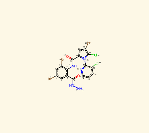 NNC(=O)c1cc(Br)cc(Br)c1NC(=O)c1cc(Br)c(Cl)n1-c1ncccc1Cl